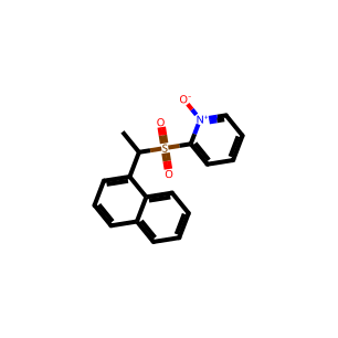 CC(c1cccc2ccccc12)S(=O)(=O)c1cccc[n+]1[O-]